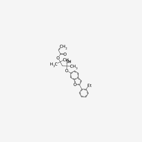 C=CC(=O)OC(C)(C)CC(C)(S)Oc1ccc2cc(-c3ccccc3CC)oc2c1